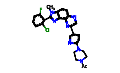 CC(=O)N1CCN(c2ccc(-c3cnc4ccc5c(nc(-c6c(F)cccc6Cl)n5C)c4n3)cn2)CC1